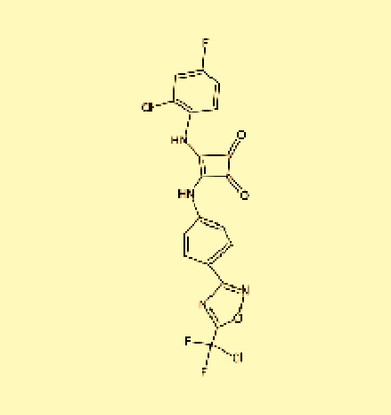 O=c1c(Nc2ccc(-c3noc(C(F)(F)Cl)n3)cc2)c(Nc2ccc(F)cc2Cl)c1=O